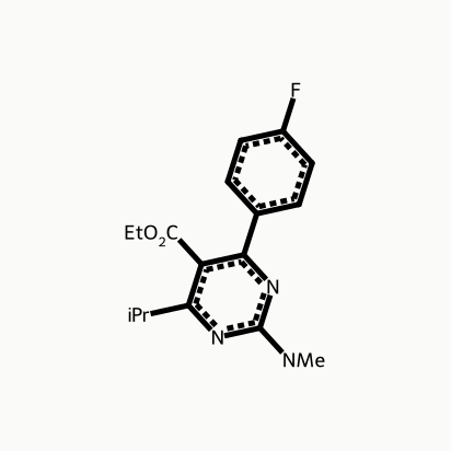 CCOC(=O)c1c(-c2ccc(F)cc2)nc(NC)nc1C(C)C